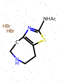 Br.Br.CC(=O)Nc1nc2c(s1)CCNCC2